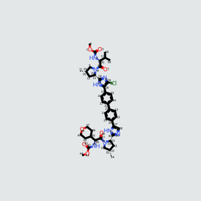 COC(=O)N[C@H](C(=O)N1C[C@@H](C)C[C@H]1c1nc(Cl)c(-c2ccc(-c3ccc(-c4cnc([C@@H]5C[C@H](C)CN5C(=O)[C@@H](NC(=O)OC)C5CCOCC5)[nH]4)cc3)cc2)[nH]1)C(C)C